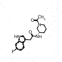 CC(=O)N1CCC[C@H](NC(=O)Cc2c[nH]c3cc(F)ccc23)C1